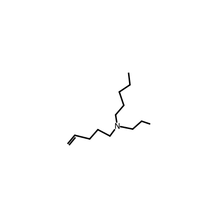 C=CCCCN(CCC)CCCCC